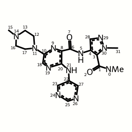 CNC(=O)c1c(NC(=O)c2nc(N3CCN(C)CC3)cnc2Nc2cncnc2)cnn1C